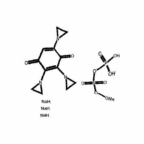 COOS(=O)(=O)OP(=O)(O)O.O=C1C=C(N2CC2)C(=O)C(N2CC2)=C1N1CC1.[NaH].[NaH].[NaH]